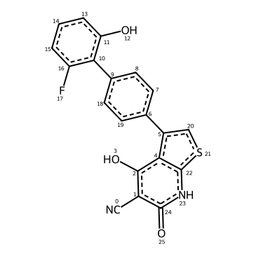 N#Cc1c(O)c2c(-c3ccc(-c4c(O)cccc4F)cc3)csc2[nH]c1=O